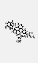 COc1ccc(-c2ccc(C(=O)N(C)C)cc2)cc1CN(C(=O)c1sc2c(F)ccc(F)c2c1Cl)[C@H]1CC[C@H](N(C)C(=O)OC(C)(C)C)CC1